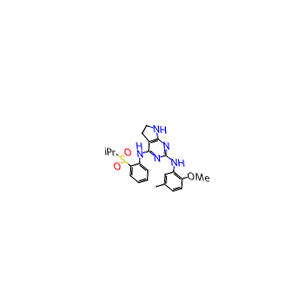 COc1ccc(C)cc1Nc1nc2c(c(Nc3ccccc3S(=O)(=O)C(C)C)n1)CCN2